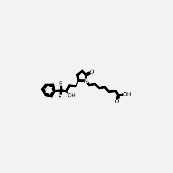 O=C(O)CCCCCCN1C(=O)CC[C@@H]1CC[C@@H](O)C(F)(F)c1ccccc1